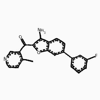 Cc1ccncc1C(=O)c1oc2cc(-c3cccc(F)c3)ccc2c1N